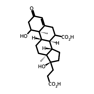 C[C@]12CC[C@H]3[C@@H](C(C(=O)O)CC4=CC(=O)CC(O)[C@@]43C)[C@@H]1CC[C@]2(O)CCC(=O)O